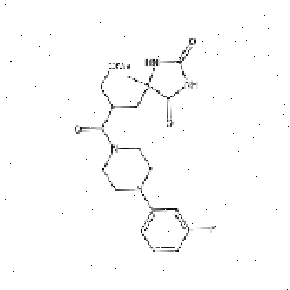 COCC(CC1(C)NC(=O)NC1=O)C(=O)N1CCN(c2cccc(F)c2)CC1